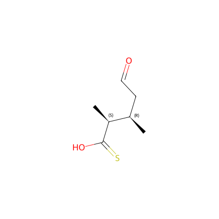 C[C@H](CC=O)[C@H](C)C(O)=S